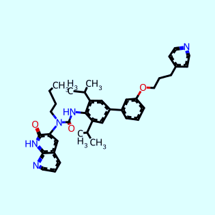 CCCCN(C(=O)Nc1c(C(C)C)cc(-c2cccc(OCCCc3ccncc3)c2)cc1C(C)C)c1cc2cccnc2[nH]c1=O